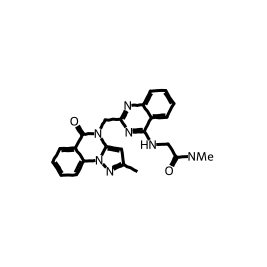 CNC(=O)CNc1nc(Cn2c(=O)c3ccccc3n3nc(C)cc23)nc2ccccc12